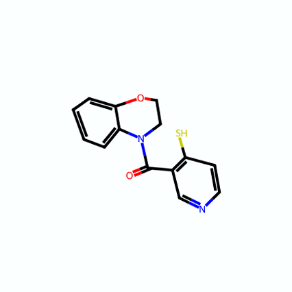 O=C(c1cnccc1S)N1CCOc2ccccc21